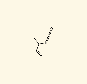 C=CC(C)N=C=O